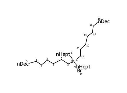 CCCCCCCCCCCCCCCC[N+](CCCCCCC)(CCCCCCC)CCCCCCCCCCCCCCCC.[Br-]